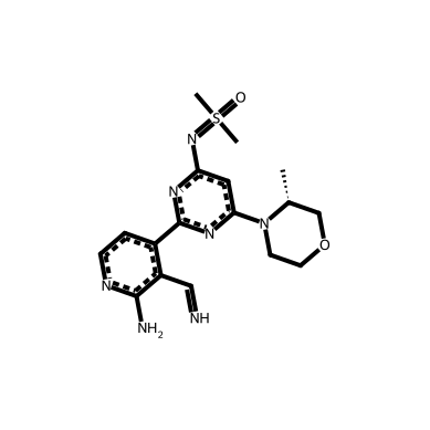 C[C@@H]1COCCN1c1cc(N=S(C)(C)=O)nc(-c2ccnc(N)c2C=N)n1